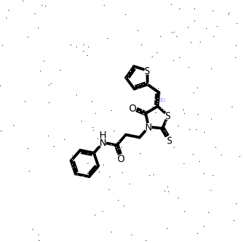 O=C(CCN1C(=O)/C(=C\c2cccs2)SC1=S)Nc1ccccc1